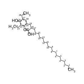 CCCCCCCCCCCCCCCCCCC(Cc1cc(CC)c(O)c(CC)c1)C(=O)O